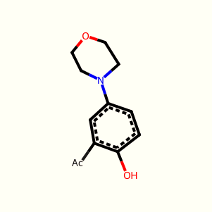 CC(=O)c1cc(N2CCOCC2)ccc1O